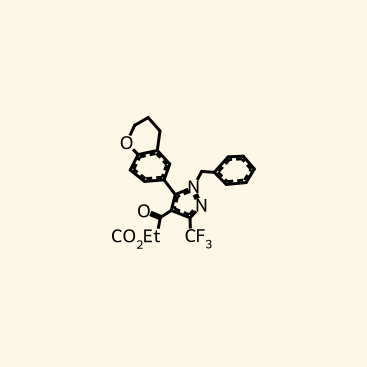 CCOC(=O)C(=O)c1c(C(F)(F)F)nn(Cc2ccccc2)c1-c1ccc2c(c1)CCCO2